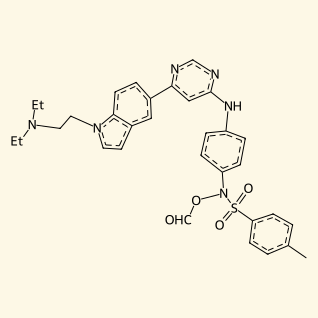 CCN(CC)CCn1ccc2cc(-c3cc(Nc4ccc(N(OC=O)S(=O)(=O)c5ccc(C)cc5)cc4)ncn3)ccc21